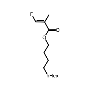 CCCCCCCCCCOC(=O)C(C)=CF